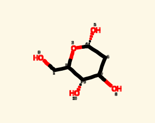 OCC1O[C@H](O)CC(O)[C@@H]1O